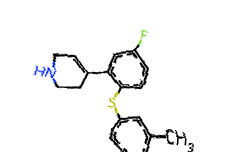 Cc1cccc(Sc2ccc(F)cc2C2=CCNCC2)c1